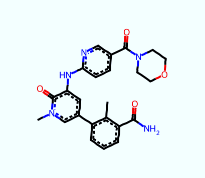 Cc1c(C(N)=O)cccc1-c1cc(Nc2ccc(C(=O)N3CCOCC3)cn2)c(=O)n(C)c1